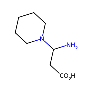 NC(CC(=O)O)N1CCCCC1